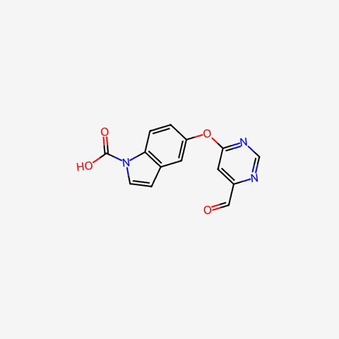 O=Cc1cc(Oc2ccc3c(ccn3C(=O)O)c2)ncn1